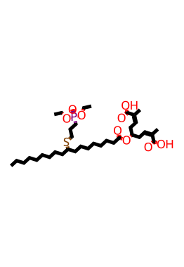 CCCCCCCCCC(CCCCCCCC(=O)OC(CC=C(C)C(=O)O)CC=C(C)C(=O)O)SCCCP(=O)(OCC)OCC